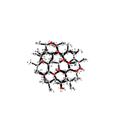 BB(B)B(B)B(B(B(B)B)B(B)B)B(B(B(B)B)B(B)B)B(B(B(B(B(B)B)B(B)B)B(B(B)B)B(B)B)B(B(B(B)B)B(B)B)B(B(B)B)B(B)B)B(B(B(B(B)B)B(B)B)B(B(B)B)B(B)B)B(B(B(B)B)B(B)B)B(B(B)B)B(B)B